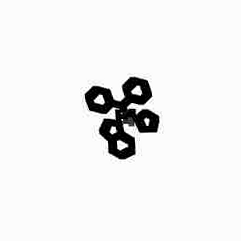 C1=CC[C]([Hf]([CH]2C=Cc3ccccc32)[CH](c2ccccc2)c2ccccc2)=C1